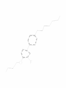 CCCCCCCc1ccc(-c2ccc(OCCCC)c(F)c2)cc1